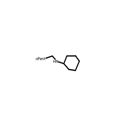 CCCCCCNC1CCCCC1